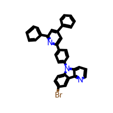 Brc1ccc2c(c1)c1ncccc1n2-c1ccc(-c2cc(-c3ccccc3)cc(-c3ccccc3)n2)cc1